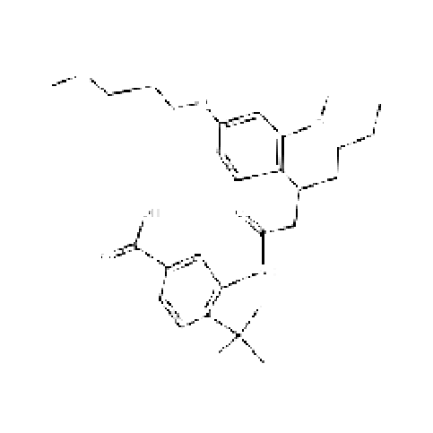 CCCCC(CC(=O)Nc1cc(C(=O)O)ccc1C(C)(C)C)c1ccc(OCCCOC)cc1OC